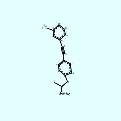 CC(=O)NC(C)Cc1ccc(C#Cc2cccc(O)c2)cc1